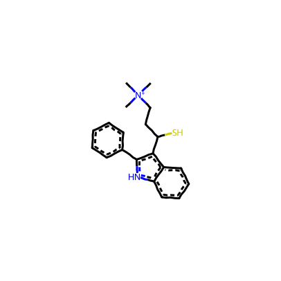 C[N+](C)(C)CCC(S)c1c(-c2ccccc2)[nH]c2ccccc12